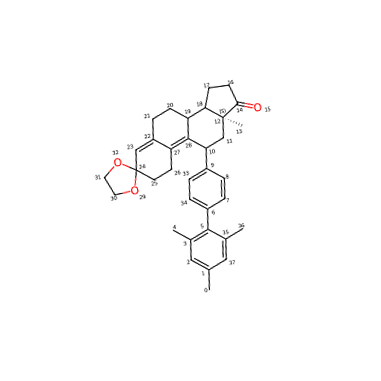 Cc1cc(C)c(-c2ccc(C3C[C@]4(C)C(=O)CCC4C4CCC5=CC6(CCC5=C34)OCCO6)cc2)c(C)c1